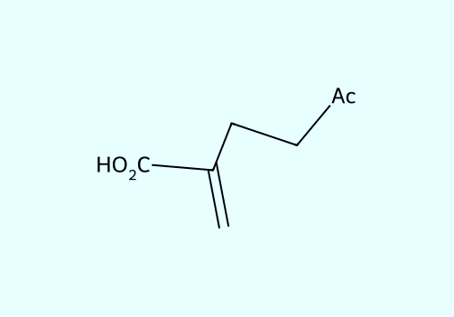 C=C(CCC(C)=O)C(=O)O